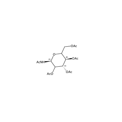 CC(=O)N[C@H]1OC(COC(C)=O)[C@@H](OC(C)=O)[C@H](OC(C)=O)C1OC(C)=O